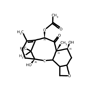 CC(=O)O[C@H]1C(=O)[C@@]2(C)C(C[C@]3(O)CCC(C)=C1C3(C)C)C1COC1C[C@@H]2O